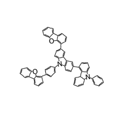 C1=CC2c3c(-c4ccc5c(c4)c4cc(-c6cccc7c6oc6ccccc67)ccc4n5-c4ccc(-c5cccc6c5oc5ccccc56)cc4)cccc3N(c3ccccc3)C2C=C1